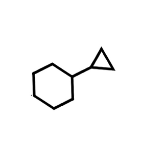 [CH]1CCC(C2CC2)CC1